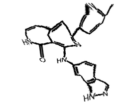 O=c1[nH]ccc2cc(-c3ccc(F)nc3)nc(Nc3ccc4cn[nH]c4c3)c12